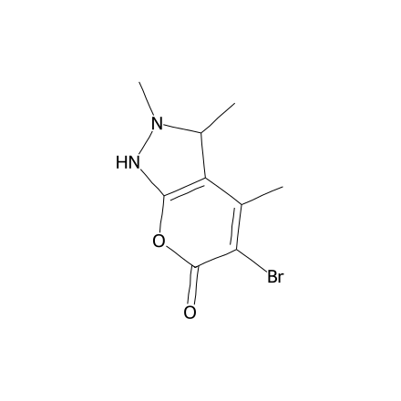 Cc1c2c(oc(=O)c1Br)NN(C)C2C